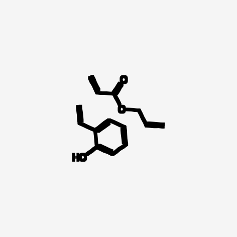 C=CCOC(=O)C=C.C=Cc1ccccc1O